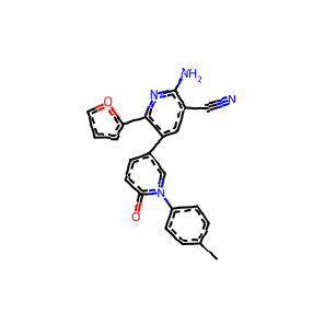 Cc1ccc(-n2cc(-c3cc(C#N)c(N)nc3-c3ccco3)ccc2=O)cc1